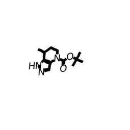 CC1CCN(C(=O)OC(C)(C)C)c2cn[nH]c21